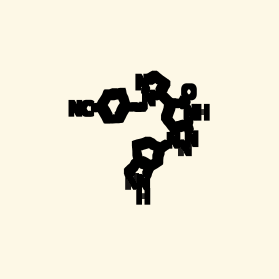 N#Cc1ccc(Cn2nccc2-c2cc3c(nnn3-c3ccc4cn[nH]c4c3)[nH]c2=O)cc1